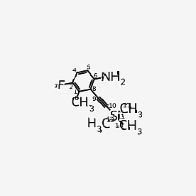 Cc1c(F)ccc(N)c1C#C[Si](C)(C)C